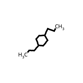 CCCC1CCC(CCC)CC1